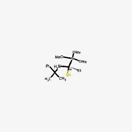 CC[C@](S)([SiH2]C(C)(C)C(C)C)[Si](OC)(OC)OC